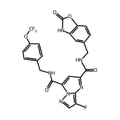 O=C(NCc1ccc2oc(=O)[nH]c2c1)c1cc(C(=O)NCc2ccc(OC(F)(F)F)cc2)n2ncc(F)c2n1